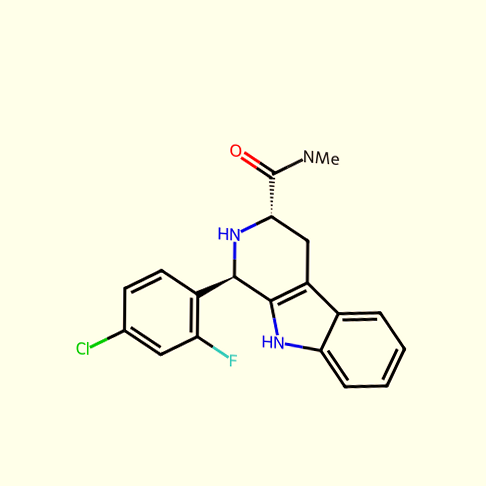 CNC(=O)[C@@H]1Cc2c([nH]c3ccccc23)[C@@H](c2ccc(Cl)cc2F)N1